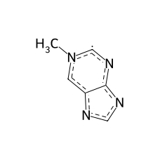 Cn1[c]nc2ncnc-2c1